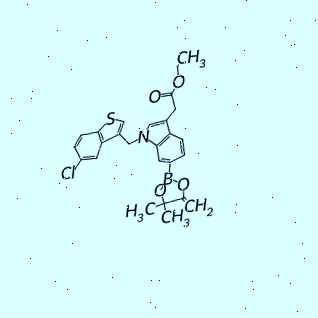 C=C1OB(c2ccc3c(CC(=O)OCC)cn(Cc4csc5ccc(Cl)cc45)c3c2)OC1(C)C